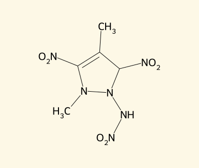 CC1=C([N+](=O)[O-])N(C)N(N[N+](=O)[O-])C1[N+](=O)[O-]